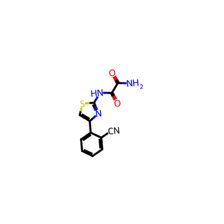 N#Cc1ccccc1-c1csc(NC(=O)C(N)=O)n1